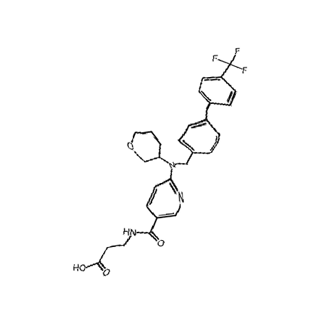 O=C(O)CCNC(=O)c1ccc(N(Cc2ccc(-c3ccc(C(F)(F)F)cc3)cc2)C2CCCOC2)nc1